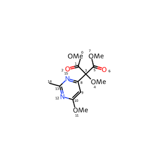 COC(=O)C(OC)(C(=O)OC)c1cc(OC)nc(C)n1